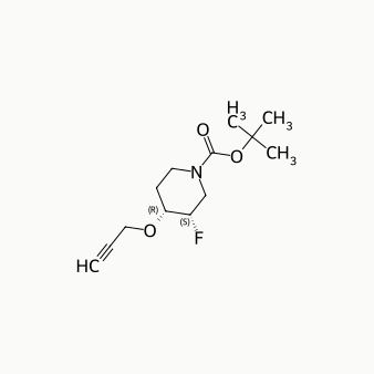 C#CCO[C@@H]1CCN(C(=O)OC(C)(C)C)C[C@@H]1F